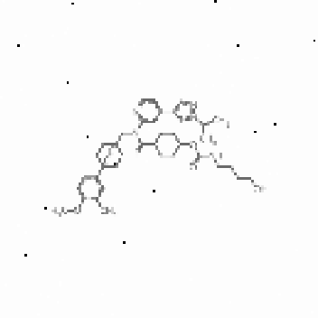 COc1ccc(C23CCC(CN(C(=O)C4CCC(OC(=O)NCCCCO)CC4)c4cc(-c5cnn(C(C)C)c5)ccn4)(CC2)CC3)cc1C